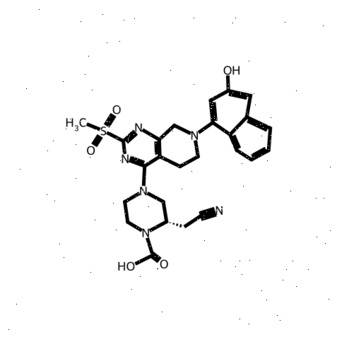 CS(=O)(=O)c1nc2c(c(N3CCN(C(=O)O)[C@@H](CC#N)C3)n1)CCN(c1cc(O)cc3ccccc13)C2